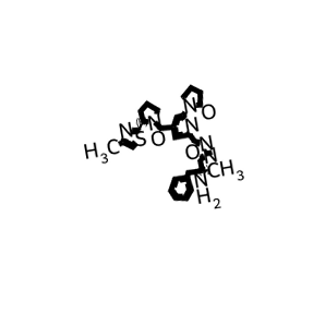 Cc1csc([C@H]2CCCN2C(=O)c2cc(-c3nnc([C@](C)(N)Cc4ccccc4)o3)nc(N3CCCC3=O)c2)n1